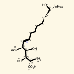 CCCCCC[C@@H](O)CCCCCC/C=C/[C@H](OC(C)=O)[C@@H](O)[C@H](O)[C@H](N)C(=O)O